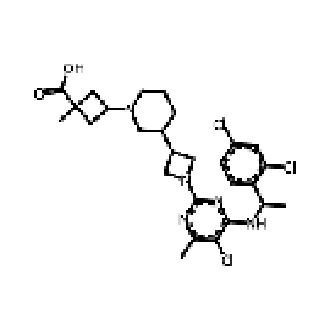 Cc1nc(N2CC(C3CCCN(C4CC(C)(C(=O)O)C4)C3)C2)nc(NC(C)c2ccc(Cl)cc2Cl)c1Cl